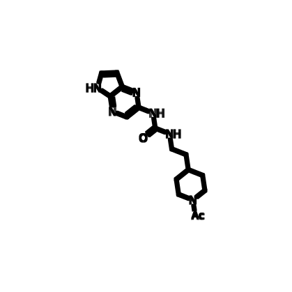 CC(=O)N1CCC(CCNC(=O)Nc2cnc3[nH]ccc3n2)CC1